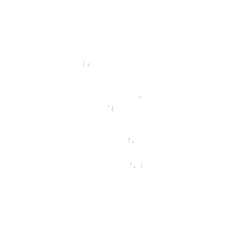 Nc1nc(/C(=N/OCCBr)C(=O)O)cs1